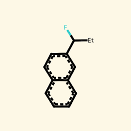 [CH2]CC(F)c1ccc2ccccc2c1